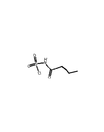 CCCC(=O)NS(=O)(=O)Cl